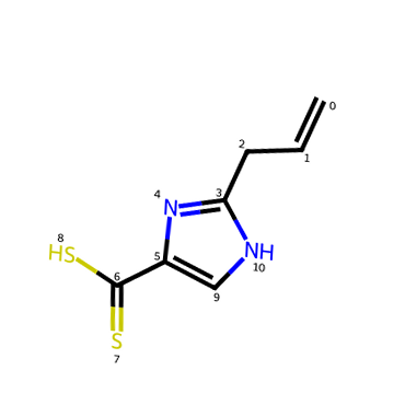 C=CCc1nc(C(=S)S)c[nH]1